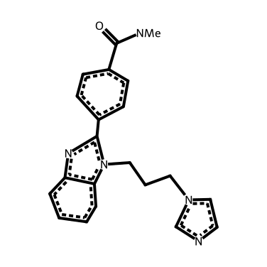 CNC(=O)c1ccc(-c2nc3ccccc3n2CCCn2ccnc2)cc1